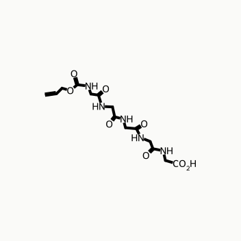 C=CCOC(=O)NCC(=O)NCC(=O)NCC(=O)NCC(=O)NCC(=O)O